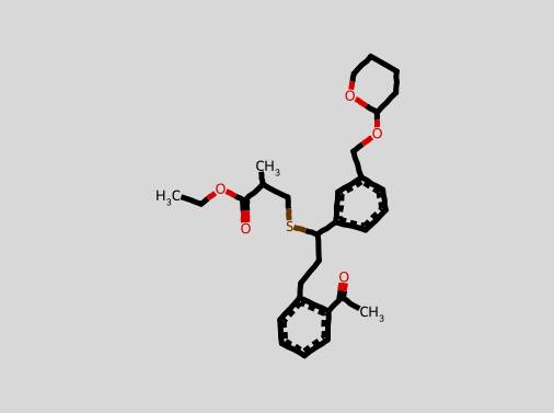 CCOC(=O)C(C)CSC(CCc1ccccc1C(C)=O)c1cccc(COC2CCCCO2)c1